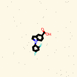 O=C(O)c1ccc2c(ccn2-c2ccc(F)cc2F)c1